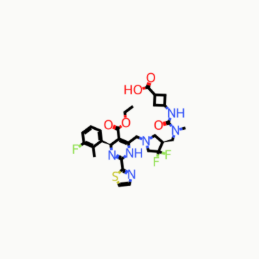 CCOC(=O)C1=C(CN2C[C@@H](CN(C)C(=O)NC3CC(C(=O)O)C3)C(F)(F)C2)NC(c2nccs2)=N[C@H]1c1cccc(F)c1C